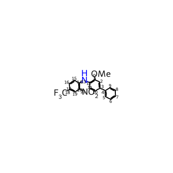 COc1cc(-c2ccccc2)ccc1Nc1ccc(C(F)(F)F)cc1[N+](=O)[O-]